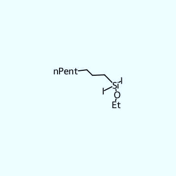 CCCCCCCC[Si](I)(I)OCC